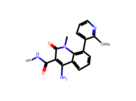 CCCNC(=O)c1c(N)c2cccc(-c3cccnc3OC)c2n(C)c1=O